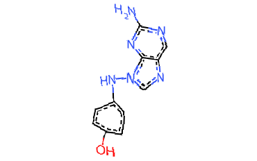 Nc1ncc2ncn(Nc3ccc(O)cc3)c2n1